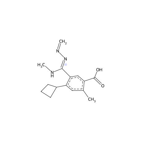 C=N/N=C(\NC)c1cc(C(=O)O)c(C)cc1C1CCC1